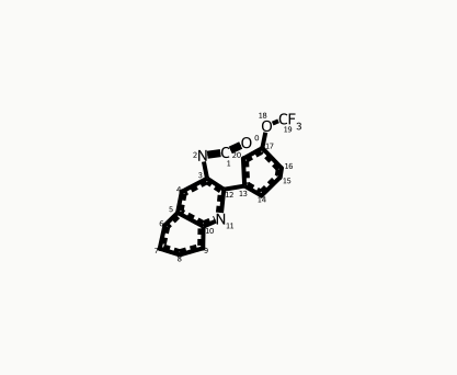 O=C=Nc1cc2ccccc2nc1-c1cccc(OC(F)(F)F)c1